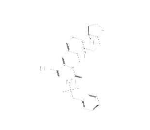 CC(C)(Cc1ccccc1)NC(=O)C1C[C@@]2(C)C(=CC[C@H]3[C@@H]4CCC[C@@]4(C)CC[C@@H]32)C=C1C(=O)O